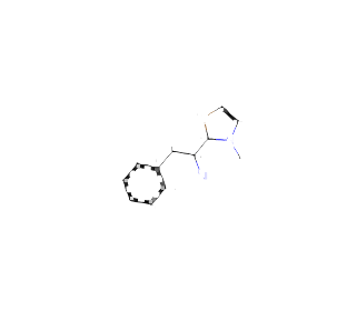 CN1C=CSC1C(N)Cc1ccccc1